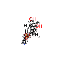 CC(C)[C@@H]1C2C[C@H](O)CC[C@]2(C)C2CC[C@@]3(C)C(CC[C@@H]3[C@H](C)CCO[P@@]3(=O)OCC[C@@H](c4ccncc4)O3)C2[C@H]1O